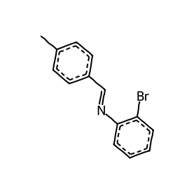 Cc1ccc(C=Nc2ccccc2Br)cc1